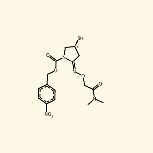 CN(C)C(=O)CON=C1C[C@H](S)CN1C(=O)OCc1ccc([N+](=O)[O-])cc1